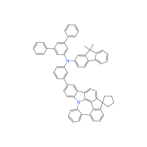 CC1(C)c2ccccc2-c2ccc(N(c3cccc(-c4ccc5c(c4)c4ccc6c7c4n5-c4ccccc4-c4cccc(c4-7)C64CCCC4)c3)c3cc(-c4ccccc4)cc(-c4ccccc4)c3)cc21